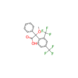 COC(C(=O)O)(c1ccccc1)c1ccc(C(F)(F)F)cc1C(F)(F)F